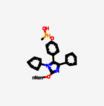 CCCCCCCCCOc1nc(-c2ccccc2)c(-c2ccccc2)n1-c1ccccc1.C[PH](=O)O